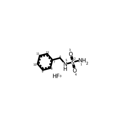 F.NS(=O)(=O)NCc1ccccc1